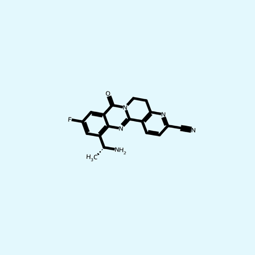 C[C@@H](N)c1cc(F)cc2c(=O)n3c(nc12)-c1ccc(C#N)nc1CC3